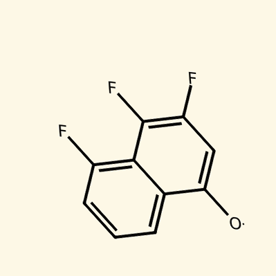 [O]c1cc(F)c(F)c2c(F)cccc12